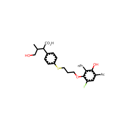 CCCc1c(O)c(C(C)=O)cc(F)c1OCCCSc1ccc(C(C(=O)O)C(C)CO)cc1